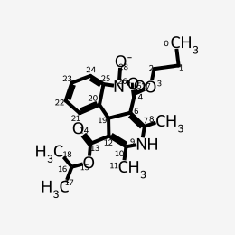 CCCOC(=O)C1=C(C)NC(C)=C(C(=O)OC(C)C)C1c1ccccc1[N+](=O)[O-]